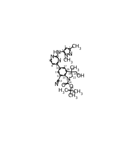 Cc1cc(Nc2nccc(-c3cc(C#N)c4c(c3)C(C)(CO)CN4C(=O)OC(C)(C)C)n2)n(C)n1